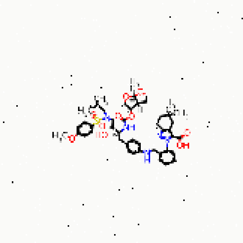 COc1ccc(S(=O)(=O)N(CC(C)C)C[C@@H](O)[C@H](Cc2ccc(NCc3ccccc3-n3nc4c(c3C(=O)O)CC(C)(C)CC4)cc2)NC(=O)O[C@H]2CO[C@@]3(C)OCC[C@@H]23)cc1